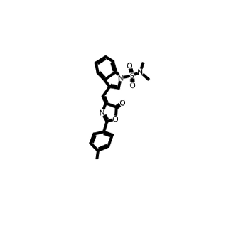 Cc1ccc(C2=NC(=Cc3cn(S(=O)(=O)N(C)C)c4ccccc34)C(=O)O2)cc1